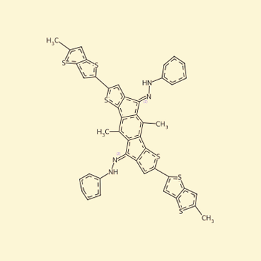 Cc1cc2sc(-c3cc4/c(=N\Nc5ccccc5)c5c(C)c6c(c(C)c5c4s3)/c(=N/Nc3ccccc3)c3cc(-c4cc5sc(C)cc5s4)sc36)cc2s1